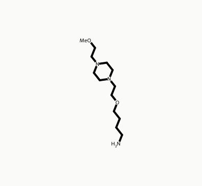 COCCN1CCN(CCOCCCCN)CC1